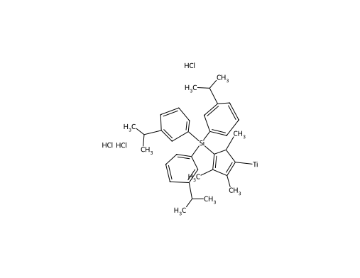 CC1=[C]([Ti])C(C)C([Si](c2cccc(C(C)C)c2)(c2cccc(C(C)C)c2)c2cccc(C(C)C)c2)=C1C.Cl.Cl.Cl